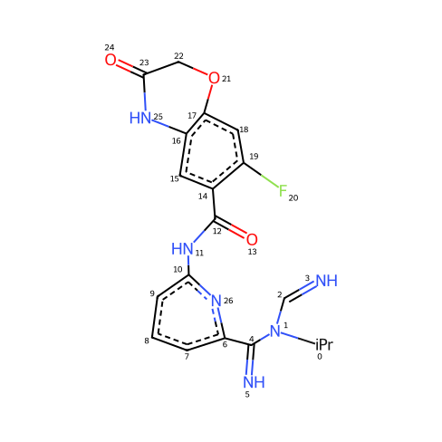 CC(C)N(C=N)C(=N)c1cccc(NC(=O)c2cc3c(cc2F)OCC(=O)N3)n1